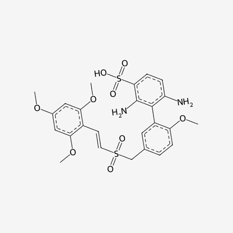 COc1cc(OC)c(C=CS(=O)(=O)Cc2ccc(OC)c(-c3c(N)ccc(S(=O)(=O)O)c3N)c2)c(OC)c1